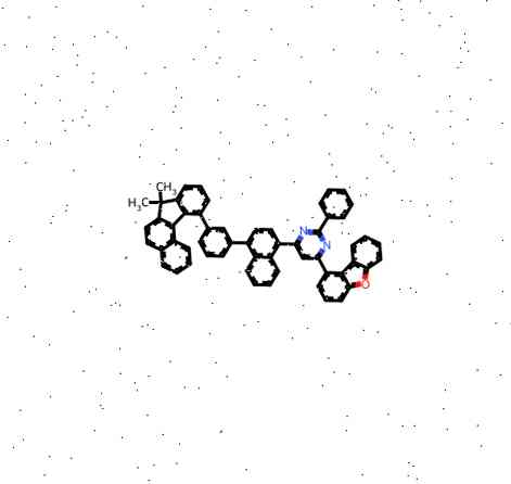 CC1(C)c2cccc(-c3cccc(-c4ccc(-c5cc(-c6cccc7oc8ccccc8c67)nc(-c6ccccc6)n5)c5ccccc45)c3)c2-c2c1ccc1ccccc21